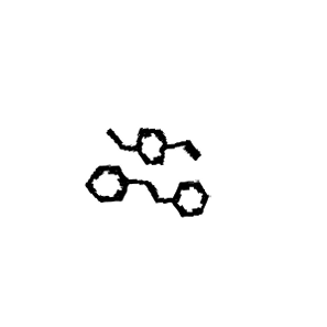 C=Cc1ccc(C=C)cc1.[c]1ccc(C=Cc2ccccc2)cc1